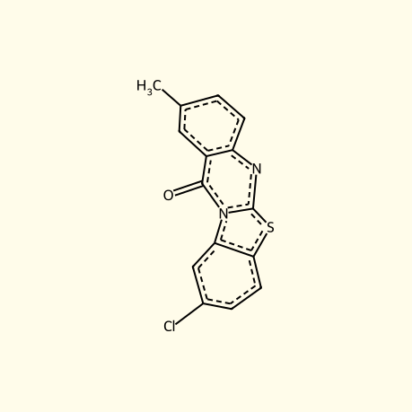 Cc1ccc2nc3sc4ccc(Cl)cc4n3c(=O)c2c1